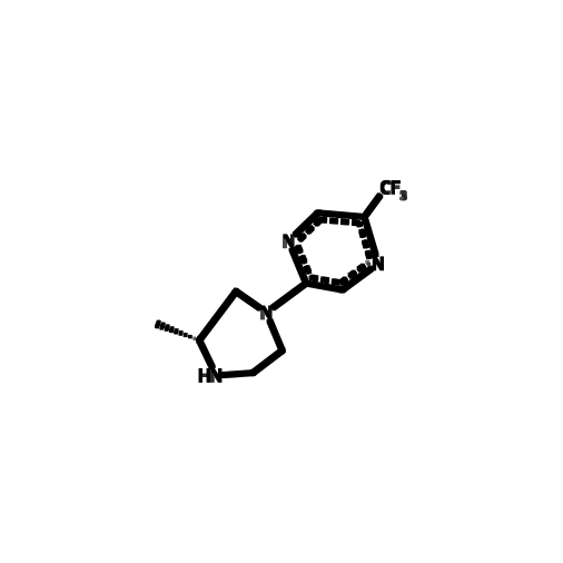 C[C@@H]1CN(c2cnc(C(F)(F)F)cn2)CCN1